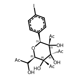 CC(=O)C(O)[C@H]1O[C@@H](c2ccc(I)cc2)[C@@](O)(C(C)=O)[C@](O)(C(C)=O)[C@@]1(O)C(C)=O